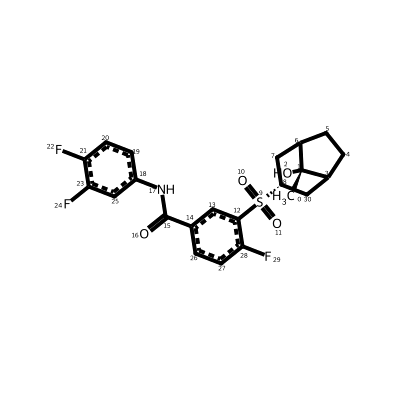 C[C@]1(O)C2CCC1C[C@@H](S(=O)(=O)c1cc(C(=O)Nc3ccc(F)c(F)c3)ccc1F)C2